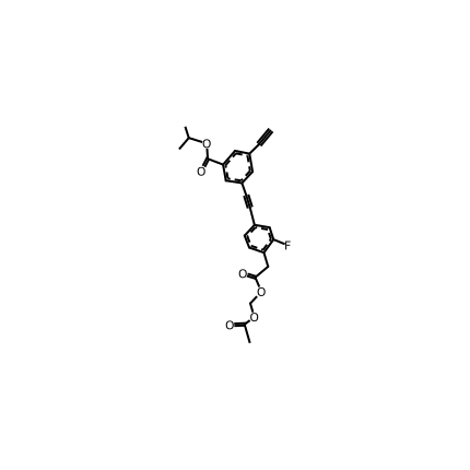 C#Cc1cc(C#Cc2ccc(CC(=O)OCOC(C)=O)c(F)c2)cc(C(=O)OC(C)C)c1